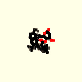 [2H]C([2H])([2H])[C@H]1C=C2C=C[C@H](C)[C@H](CCC3C[C@@H](O)CC(=O)O3)[C@H]2[C@@H](OC(=O)[C@@H](C([2H])([2H])[2H])C([2H])([2H])C([2H])([2H])[2H])C1